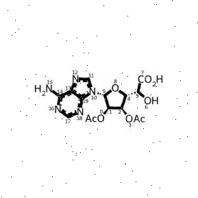 CC(=O)O[C@@H]1[C@H](OC(C)=O)[C@@H](C(O)C(=O)O)O[C@H]1n1cnc2c(N)ncnc21